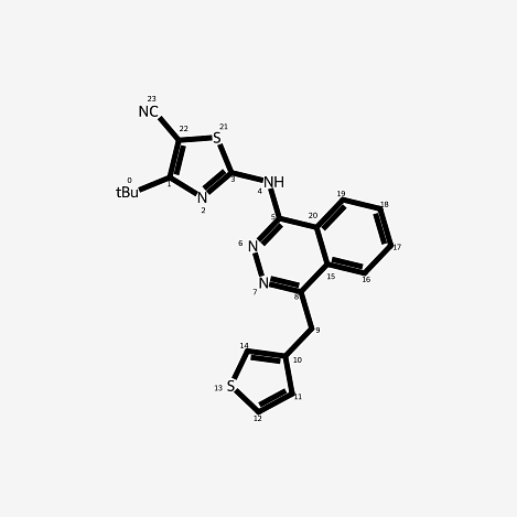 CC(C)(C)c1nc(Nc2nnc(Cc3ccsc3)c3ccccc23)sc1C#N